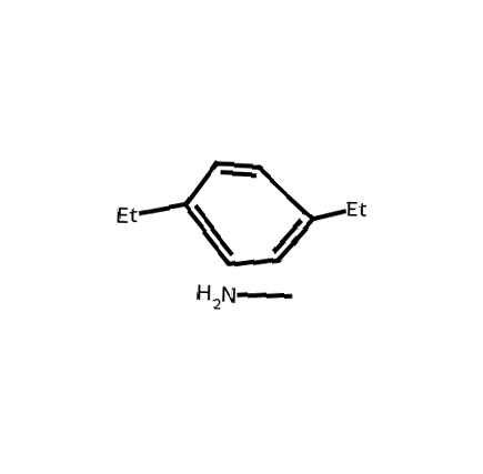 CCc1ccc(CC)cc1.CN